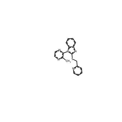 Cc1nccnc1-n1c(SCc2ccccn2)nc2ccccc21